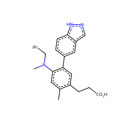 Cc1cc(N(C)CC(C)C)c(-c2ccc3[nH]ncc3c2)cc1CCC(=O)O